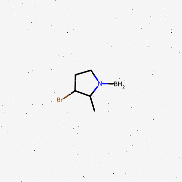 BN1CCC(Br)C1C